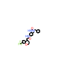 O=C(/C=C1\CCCOc2cc(C(F)(F)F)ccc21)Nc1ccc2c(c1)NC(=O)N(Cc1ccccc1)C2